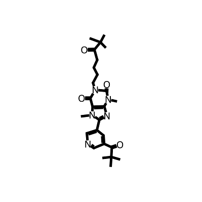 Cn1c(-c2cncc(C(=O)C(C)(C)C)c2)nc2c1c(=O)n(CCCCC(=O)C(C)(C)C)c(=O)n2C